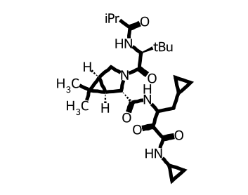 CC(C)C(=O)N[C@H](C(=O)N1C[C@H]2[C@@H]([C@H]1C(=O)NC(CC1CC1)C(=O)C(=O)NC1CC1)C2(C)C)C(C)(C)C